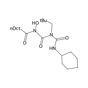 CCCCCCCCC(=O)N(O)C(=O)N(CC(C)(C)C)C(=O)NC1CCCCC1